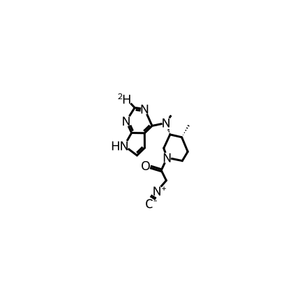 [2H]c1nc(N(C)[C@H]2CN(C(=O)C[N+]#[C-])CC[C@H]2C)c2cc[nH]c2n1